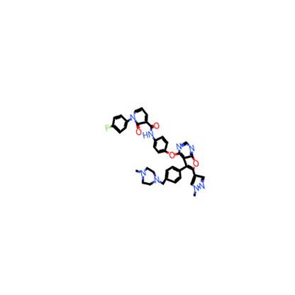 CN1CCN(Cc2ccc(-c3c(-c4cnn(C)c4)oc4ncnc(Oc5ccc(NC(=O)c6cccn(-c7ccc(F)cc7)c6=O)cc5)c34)cc2)CC1